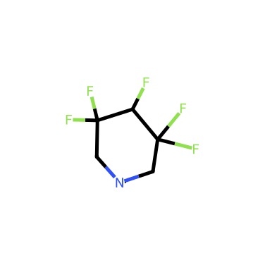 FC1C(F)(F)C[N]CC1(F)F